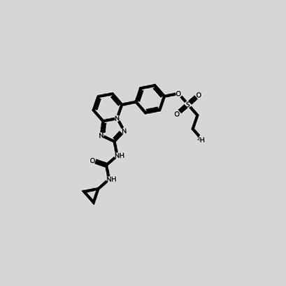 [2H]CCS(=O)(=O)Oc1ccc(-c2cccc3nc(NC(=O)NC4CC4)nn23)cc1